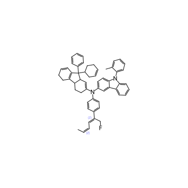 C/C=C\C=C(/CF)c1ccc(N(C2=CC3C(CC2)C2=C(C=CCC2)C3(c2ccccc2)C2CC=CCC2)c2ccc3c(c2)c2ccccc2n3-c2ccccc2C)cc1